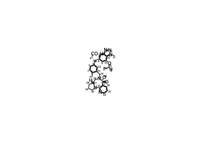 Cc1ccc([C@H](CC(=O)O)c2cc(OC(F)F)c3c(c2)nnn3C)cc1CN1C[C@H]2CCCN2c2ncccc2S1(=O)=O